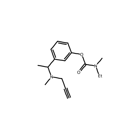 C#CCN(C)C(C)c1cccc(OC(=O)N(C)CC)c1